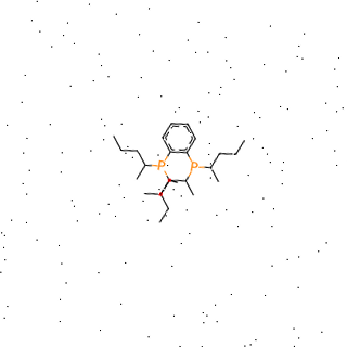 CCCC(C)P(c1ccccc1P(C(C)CCC)C(C)CCC)C(C)CCC